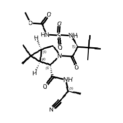 COC(=O)NS(=O)(=O)N[C@H](C(=O)N1C[C@H]2[C@@H]([C@H]1C(=O)N[C@@H](C)C#N)C2(C)C)C(C)(C)C